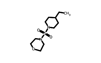 CCC1CCN(S(=O)(=O)N2CCOCC2)CC1